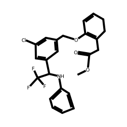 COC(=O)CC1=C(OCc2cc(Cl)cc(C(Nc3ccccc3)C(F)(F)F)c2)C=CCC1